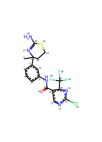 CC1(c2cccc(NC(=O)c3cnc(Cl)nc3C(F)(F)F)c2)CCSC(N)=N1